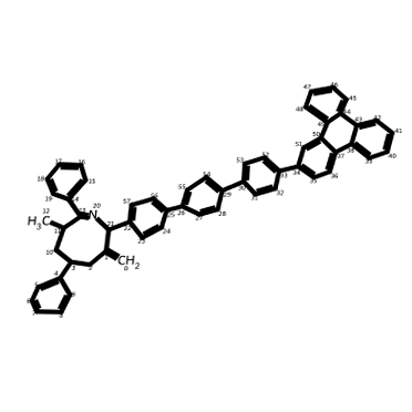 C=C1CC(c2ccccc2)CC(C)/C(c2ccccc2)=N\C1c1ccc(-c2ccc(-c3ccc(-c4ccc5c6ccccc6c6ccccc6c5c4)cc3)cc2)cc1